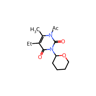 CCc1c(C)n(C(C)=O)c(=O)n(C2CCCCO2)c1=O